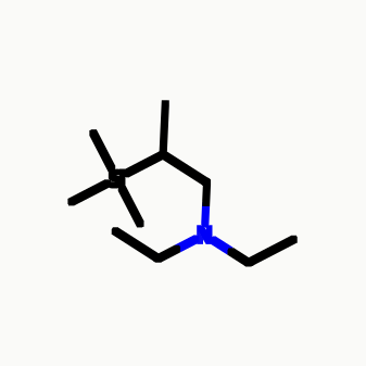 CCN(CC)CC(C)[Si](C)(C)C